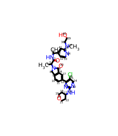 CC(NC(=O)C(C)N1Cc2ccc(-c3nc(NC4CCOCC4)ncc3Cl)cc2C1=O)c1ccnc(N(C)CCO)c1